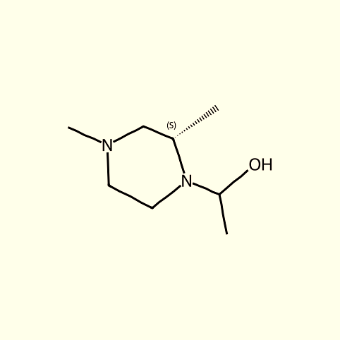 CC(O)N1CCN(C)C[C@@H]1C